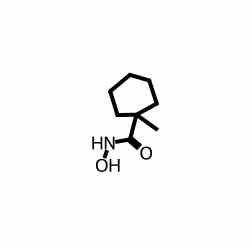 CC1(C(=O)NO)CCCCC1